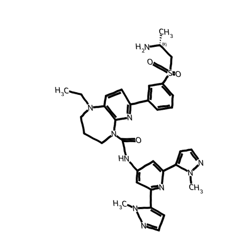 CCN1CCCN(C(=O)Nc2cc(-c3ccnn3C)nc(-c3ccnn3C)c2)c2nc(-c3cccc(S(=O)(=O)C[C@@H](C)N)c3)ccc21